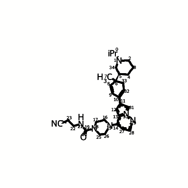 CC(C)N1CCC[C@@H](C2(C)C=CC(c3cc4c(N5CCN(C(=O)NCCC#N)CC5)ccnn4c3)=CC2)C1